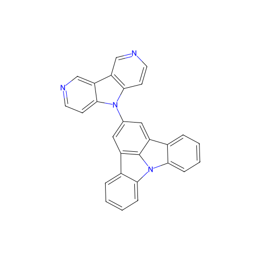 c1ccc2c(c1)c1cc(-n3c4ccncc4c4cnccc43)cc3c4ccccc4n2c13